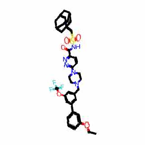 CCOc1cccc(-c2cc(CN3CCN(c4ccc(C(=O)NS(=O)(=O)CC56CC7CC(CC(C7)C5)C6)nn4)CC3)cc(OC(F)(F)F)c2)c1